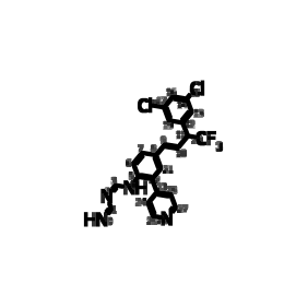 N=C/N=C\Nc1ccc(/C=C/C(c2cc(Cl)cc(Cl)c2)C(F)(F)F)cc1-c1ccncc1